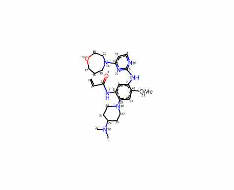 C=CC(=O)Nc1cc(Nc2nccc(N3CCCOCC3)n2)c(OC)cc1N1CCC(N(C)C)CC1